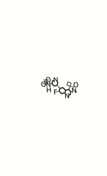 CN1C(=O)C2(CCC2)c2c1cnc1cc(F)c(-c3cncc(NS(C)(=O)=O)c3)cc21